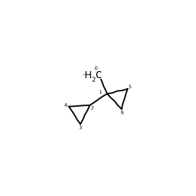 [CH2]C1(C2CC2)CC1